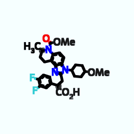 COC(=O)N1c2ccc3c(nc(C[C@@H](C(=O)O)c4ccc(F)c(F)c4)n3C3CCC(OC)CC3)c2CC[C@@H]1C